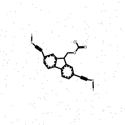 O=C(Cl)OCC1c2cc(C#CSI)ccc2-c2ccc(C#CSI)cc21